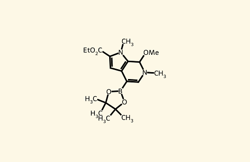 CCOC(=O)c1cc2c(n1C)C(OC)N(C)C=C2B1OC(C)(C)C(C)(C)O1